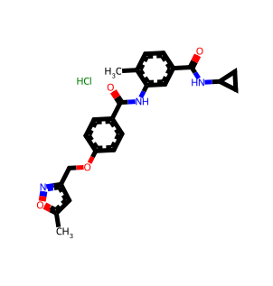 Cc1cc(COc2ccc(C(=O)Nc3cc(C(=O)NC4CC4)ccc3C)cc2)no1.Cl